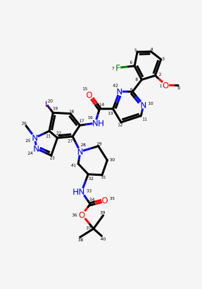 COc1cccc(F)c1-c1nccc(C(=O)Nc2cc(I)c3c(cnn3C)c2N2CCCC(NC(=O)OC(C)(C)C)C2)n1